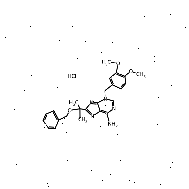 COc1ccc(Cn2cnc(N)c3nc(C(C)(C)OCc4ccccc4)nc2-3)cc1OC.Cl